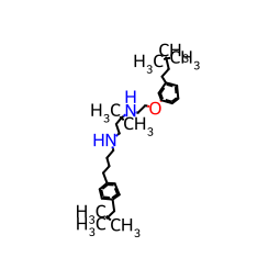 CC(C)(C)CCc1cccc(OCCNC(C)(C)CCNCCCCc2ccc(CC(C)(C)C)cc2)c1